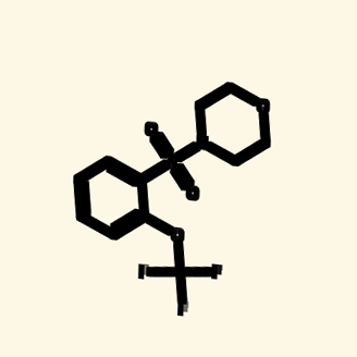 O=S(=O)(c1ccccc1OC(F)(F)F)N1CCOCC1